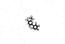 O=S(=O)(Cl)c1nc(-c2c(F)cc(F)c(F)c2F)c(F)cc1Cl